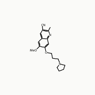 COc1cc2cc(C#N)c(C)nc2cc1OCCCN1CCCC1